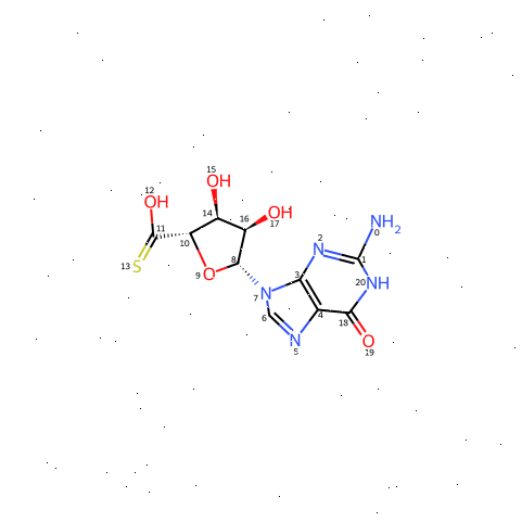 Nc1nc2c(ncn2[C@@H]2O[C@H](C(O)=S)[C@@H](O)[C@H]2O)c(=O)[nH]1